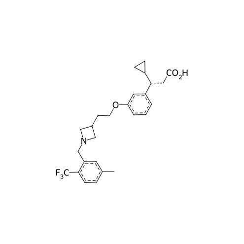 Cc1ccc(C(F)(F)F)c(CN2CC(CCOc3cccc([C@@H](CC(=O)O)C4CC4)c3)C2)c1